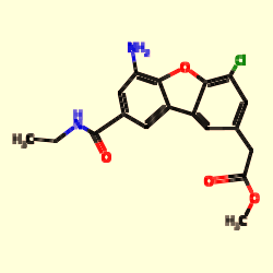 CCNC(=O)c1cc(N)c2oc3c(Cl)cc(CC(=O)OC)cc3c2c1